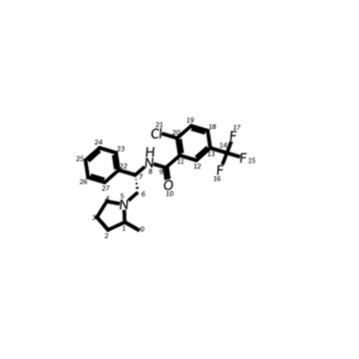 CC1CCCN1C[C@@H](NC(=O)c1cc(C(F)(F)F)ccc1Cl)c1ccccc1